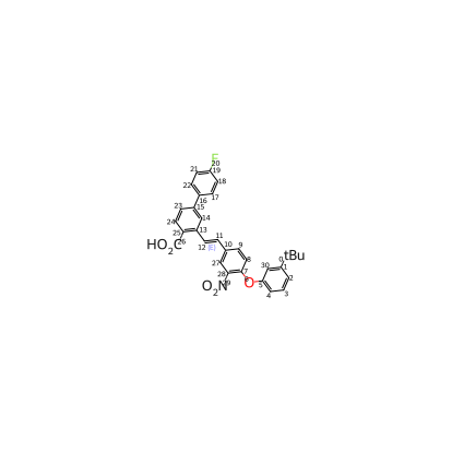 CC(C)(C)c1cccc(Oc2ccc(/C=C/c3cc(-c4ccc(F)cc4)ccc3C(=O)O)cc2[N+](=O)[O-])c1